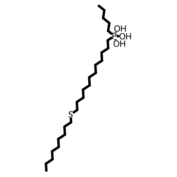 CCCCCCCCCSCCCCCCCCCCCCP(O)(O)(O)CCCCC